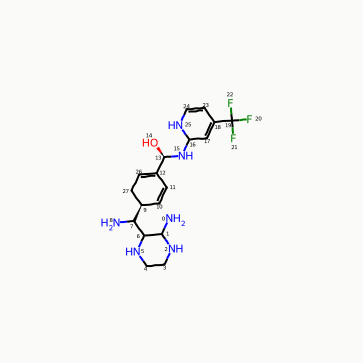 NC1NCCNC1C(N)[C@@H]1C=CC([C@@H](O)NC2C=C(C(F)(F)F)C=CN2)=CC1